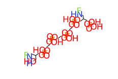 O=P(O)(O)OCC(CNF)COP(=O)(O)OCCOP(=O)(O)OCCOP(=O)(O)OCCOP(=O)(O)OCC(CO)CNF